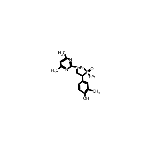 CCCP(=O)(CCC)C(CNc1nc(C)cc(C)n1)c1ccc(O)c(C)c1